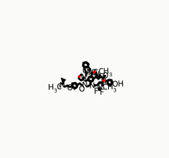 Cc1c(C(=O)N(c2ccc(O)cc2)c2cc(C#N)n(C(F)F)c2C)cc(-c2cc3c(cc2C(=O)N2Cc4ccccc4C[C@H]2CN2CCCCC2)CN(C(=O)Cc2ccc(OCCN(C)C4CC4)cc2)CC3)n1C